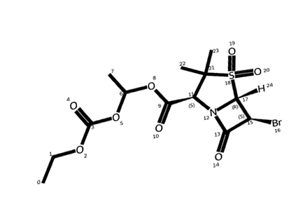 CCOC(=O)OC(C)OC(=O)[C@@H]1N2C(=O)[C@H](Br)[C@H]2S(=O)(=O)C1(C)C